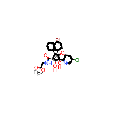 CCOC(CNC(=O)[C@H]1[C@@H](O)[C@@]2(O)c3ncc(Cl)cc3O[C@@]2(c2ccc(Br)cc2)[C@@H]1c1ccccc1)OCC